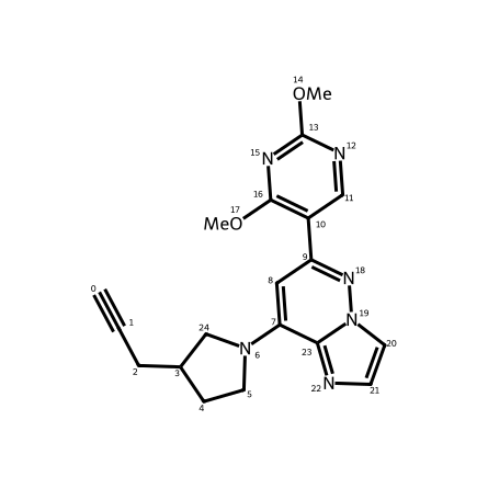 C#CCC1CCN(c2cc(-c3cnc(OC)nc3OC)nn3ccnc23)C1